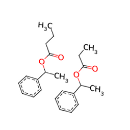 CCC(=O)OC(C)c1ccccc1.CCCC(=O)OC(C)c1ccccc1